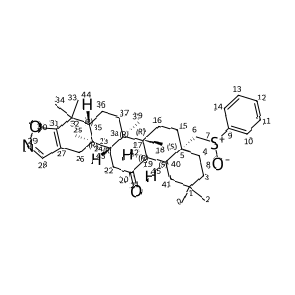 CC1(C)CC[C@]2(C[S+]([O-])c3ccccc3)CC[C@]3(C)[C@H](C(=O)C[C@@H]4[C@@]5(C)Cc6cnoc6C(C)(C)[C@@H]5CC[C@]43C)[C@@H]2C1